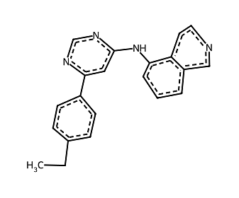 CCc1ccc(-c2cc(Nc3cccc4cnccc34)ncn2)cc1